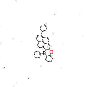 c1ccc(B2c3ccccc3Oc3cc4ccc5c(-c6ccccc6)ccc6ccc(c32)c4c65)cc1